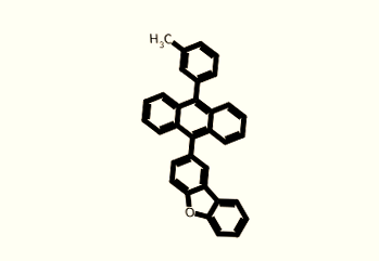 Cc1cccc(-c2c3ccccc3c(-c3ccc4oc5ccccc5c4c3)c3ccccc23)c1